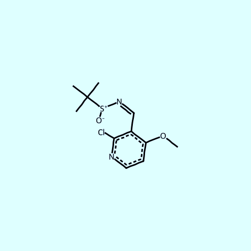 COc1ccnc(Cl)c1/C=N\[S+]([O-])C(C)(C)C